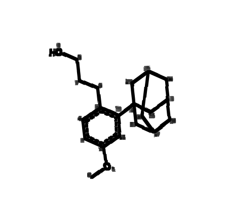 COc1ccc(CCCO)c(C23CC4CC(CC(C4)C2)C3)c1